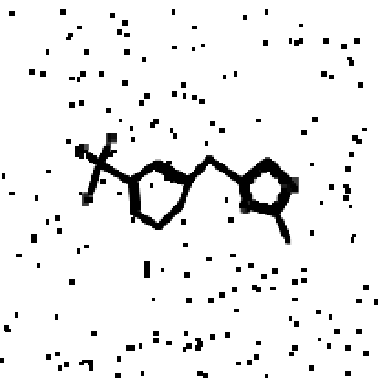 Cc1ncc(CC2=CC(C(F)(F)F)=CCC2)s1